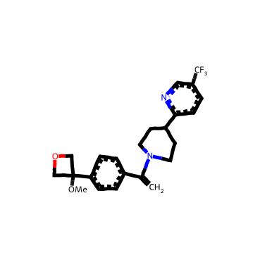 C=C(c1ccc(C2(OC)COC2)cc1)N1CCC(c2ccc(C(F)(F)F)cn2)CC1